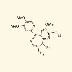 CCOc1cc2c(cc1OC)C(c1ccc(OC)c(OC)c1)=NN=C(C)C2CC